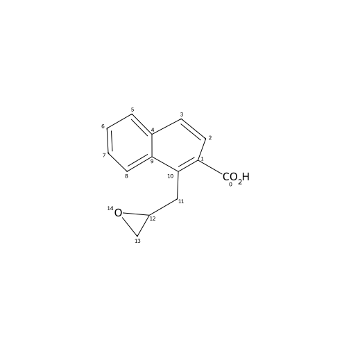 O=C(O)c1ccc2ccccc2c1CC1CO1